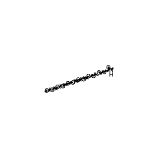 CNC(=O)CCOCCOCCOCCOCCOCCOCCOCCOCCOCCOCCOCCOC